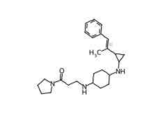 C/C(=C\c1ccccc1)C1CC1NC1CCC(NCCC(=O)N2CCCC2)CC1